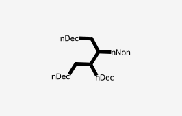 CCCCCCCCCCC[C](CCCCCCCCC)C(CCCCCCCCCC)CCCCCCCCCCC